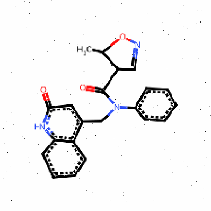 CC1ON=CC1C(=O)N(Cc1cc(=O)[nH]c2ccccc12)c1ccccc1